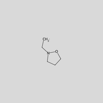 [CH2]CN1CCCO1